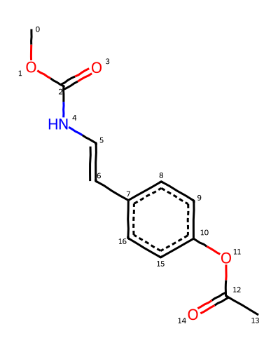 COC(=O)NC=Cc1ccc(OC(C)=O)cc1